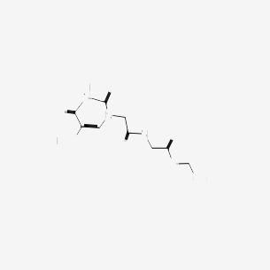 CCOC(=O)CNC(=O)Cn1cc(C)c(=O)[nH]c1=O